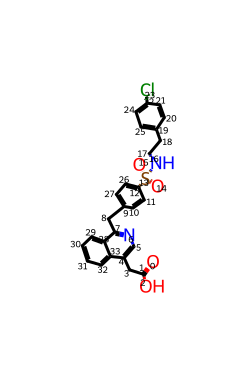 O=C(O)Cc1cnc(Cc2ccc(S(=O)(=O)NCCc3ccc(Cl)cc3)cc2)c2ccccc12